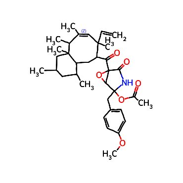 C=CC1(C)/C=C(/C)C(C)C2(C)CC(C)CC(C)C2CC1C(=O)C12OC1C(Cc1ccc(OC)cc1)(OC(C)=O)NC2=O